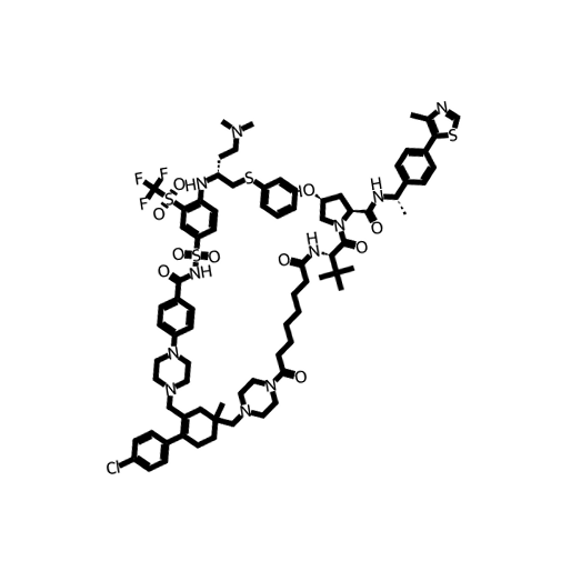 Cc1ncsc1-c1ccc([C@H](C)NC(=O)[C@@H]2C[C@@H](O)CN2C(=O)[C@@H](NC(=O)CCCCCCC(=O)N2CCN(CC3(C)CCC(c4ccc(Cl)cc4)=C(CN4CCN(c5ccc(C(=O)NS(=O)(=O)c6ccc(N[C@H](CCN(C)C)CSc7ccccc7)c(S(=O)(=O)C(F)(F)F)c6)cc5)CC4)C3)CC2)C(C)(C)C)cc1